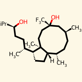 CC(C)[C@@H](O)CC[C@@H](C)[C@H]1CC[C@H]2[C@@H](C)CC[C@H](C)C[C@](O)(C(F)(F)F)CC[C@]12C